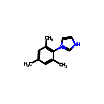 Cc1cc(C)c(-[n+]2cc[nH]c2)c(C)c1